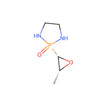 C[C@H]1O[C@H]1P1(=O)NCCN1